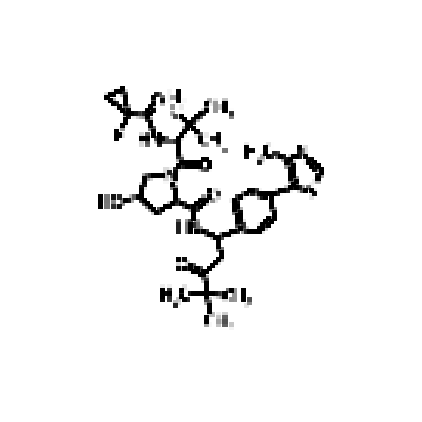 Cc1ncsc1-c1ccc(C(CC(=O)C(C)(C)C)NC(=O)C2C[C@@H](O)CN2C(=O)[C@@H](NC(=O)C2(F)CC2)C(C)(C)C)cc1